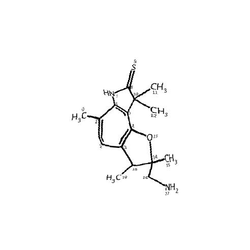 Cc1cc2c(c3c1NC(=S)C3(C)C)OC(C)(CN)C2C